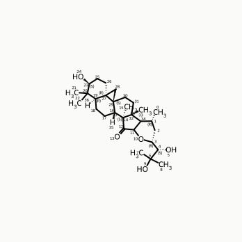 C[C@@H]1C[C@H]([C@H](O)C(C)(C)O)OC2C(=O)[C@@]3(C)[C@@H]4CC[C@H]5C(C)(C)[C@@H](O)CC[C@@]56C[C@@]46CC[C@]3(C)C21